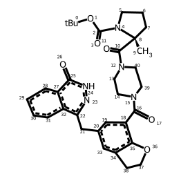 CC(C)(C)OC(=O)N1CCC[C@]1(C)C(=O)N1CCN(C(=O)c2cc(Cc3n[nH]c(=O)c4ccccc34)cc3c2OCC3)CC1